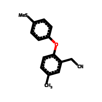 CSc1ccc(Oc2ccc(C)cc2CC#N)cc1